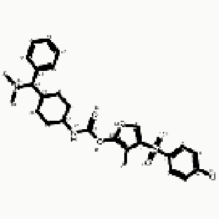 Cc1c(S(=O)(=O)c2ccc(Cl)cc2)csc1OC(=O)NC1CCC(C(c2ccccc2)N(C)C)CC1